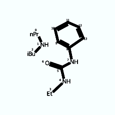 CCCNC(C)CC.CCNC(=O)Nc1ccccc1